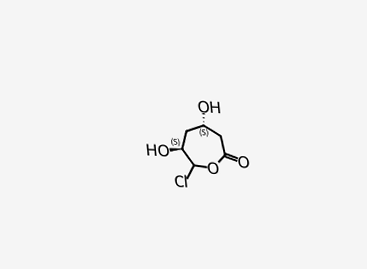 O=C1C[C@@H](O)C[C@H](O)C(Cl)O1